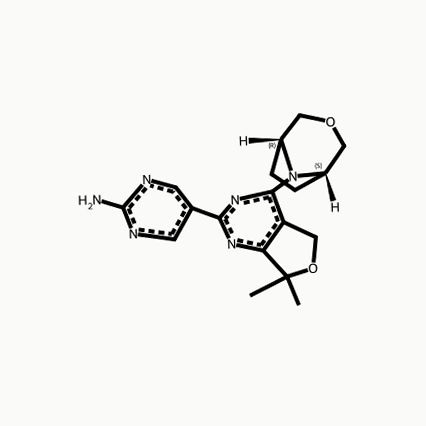 CC1(C)OCc2c(N3[C@@H]4CC[C@H]3COC4)nc(-c3cnc(N)nc3)nc21